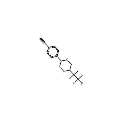 C#Cc1ccc(C2SCC(C(C)(C)C(F)(F)F)CS2)cc1